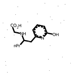 CCCC(Cc1cccc(O)n1)NCC(=O)O